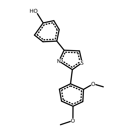 COc1ccc(-c2nc(-c3ccc(O)cc3)cs2)c(OC)c1